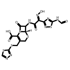 O=CNc1nc(C(=NO)C(=O)NC2C(=O)N3C(C(=O)O)=C(CSc4nncs4)CS[C@@H]23)ns1